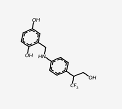 OCC(c1ccc(NCc2cc(O)ccc2O)cc1)C(F)(F)F